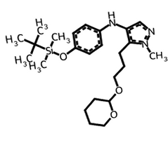 Cn1ncc(Nc2ccc(O[Si](C)(C)C(C)(C)C)cc2)c1CCCOC1CCCCO1